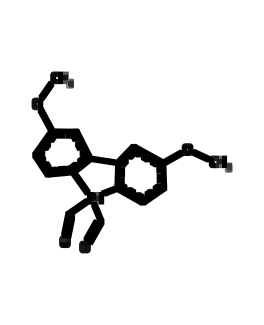 COc1ccc2c(c1)-c1cc(OC)ccc1[PH]2(C=O)C=O